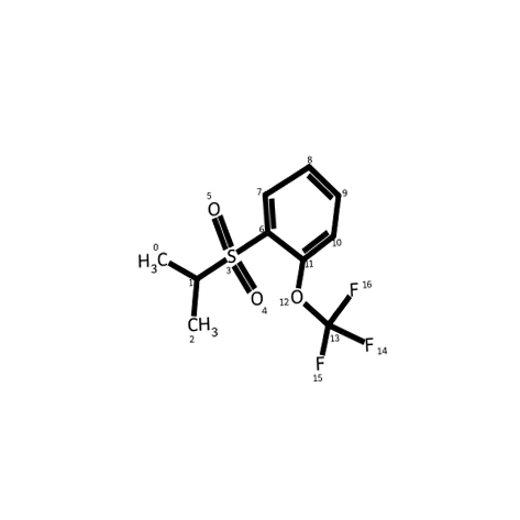 CC(C)S(=O)(=O)c1ccccc1OC(F)(F)F